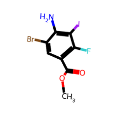 COC(=O)c1cc(Br)c(N)c(I)c1F